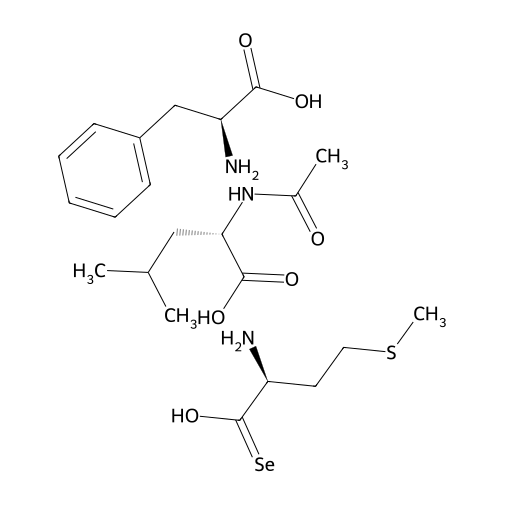 CC(=O)N[C@@H](CC(C)C)C(=O)O.CSCC[C@H](N)C(O)=[Se].N[C@@H](Cc1ccccc1)C(=O)O